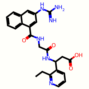 CCc1ncccc1C(CC(=O)O)NC(=O)CNC(=O)c1cc(NC(=N)N)cc2ccccc12